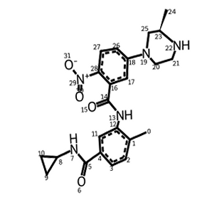 Cc1ccc(C(=O)NC2CC2)cc1NC(=O)c1cc(N2CCN[C@H](C)C2)ccc1[N+](=O)[O-]